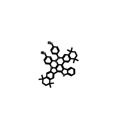 CC(C)(C)c1ccc(N2B3c4cc(C(C)(C)C)ccc4-n4c5cc6c(cc5c5c7sc8ccccc8c7c(c3c54)-c3cc4c(cc32)C(C)(C)CCC4(C)C)C(C)(C)CCC6(C)C)cc1